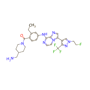 CCc1cc(Nc2nccn3c(-c4cn(CCF)nc4C(F)(F)F)cnc23)ccc1C(=O)N1CCC(CN)CC1